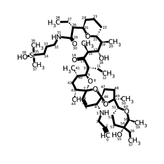 C#CCN[C@@H]1C=C[C@]2(O[C@H]([C@@H](CC)C(=O)[C@@H](C)[C@@H](O)[C@H](C)[C@H]3CCC[C@H]([C@@H](CC)C(=O)NCCC[Si](C)(C)O)O3)[C@@H](C)C[C@H]2C)O[C@@]12CC[C@@](C)([C@H]1CC[C@](O)(CC)[C@H](C)O1)O2